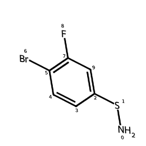 NSc1ccc(Br)c(F)c1